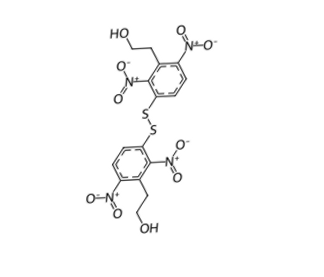 O=[N+]([O-])c1ccc(SSc2ccc([N+](=O)[O-])c(CCO)c2[N+](=O)[O-])c([N+](=O)[O-])c1CCO